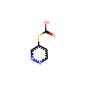 O=C(O)Sc1ccnnc1